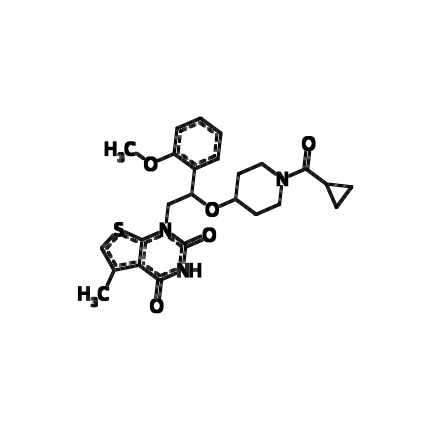 COc1ccccc1C(Cn1c(=O)[nH]c(=O)c2c(C)csc21)OC1CCN(C(=O)C2CC2)CC1